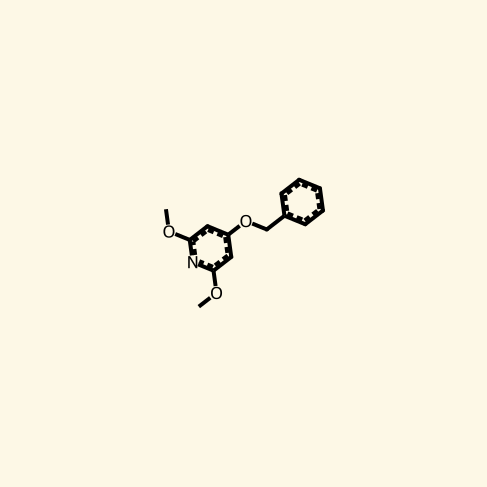 COc1cc(OCc2ccccc2)cc(OC)n1